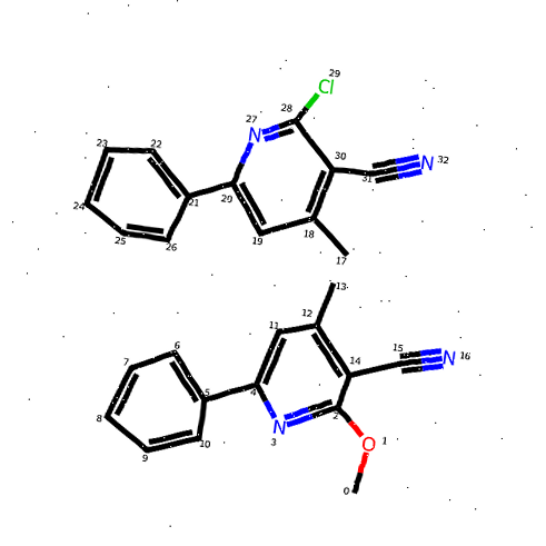 COc1nc(-c2ccccc2)cc(C)c1C#N.Cc1cc(-c2ccccc2)nc(Cl)c1C#N